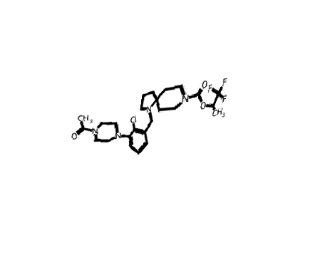 CC(=O)N1CCN(c2cccc(CN3CCCC34CCN(C(=O)OC(C)C(F)(F)F)CC4)c2Cl)CC1